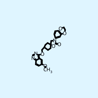 COc1ccc2ncnc(OCC3CCC4(CC3)CN(c3ccc5c(c3)OCCO5)C(=O)O4)c2c1